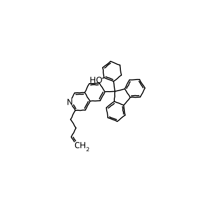 C=CCCc1cc2cc(C3(C4=C(O)C=CCC4)c4ccccc4-c4ccccc43)ccc2cn1